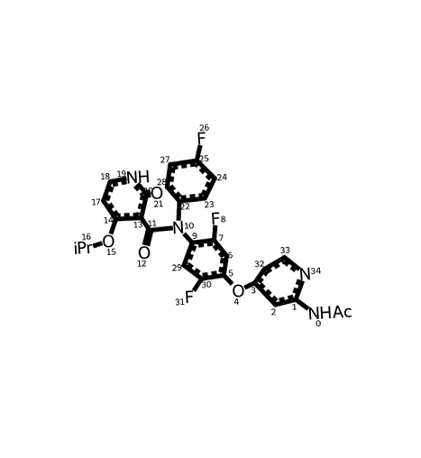 CC(=O)Nc1cc(Oc2cc(F)c(N(C(=O)c3c(OC(C)C)cc[nH]c3=O)c3ccc(F)cc3)cc2F)ccn1